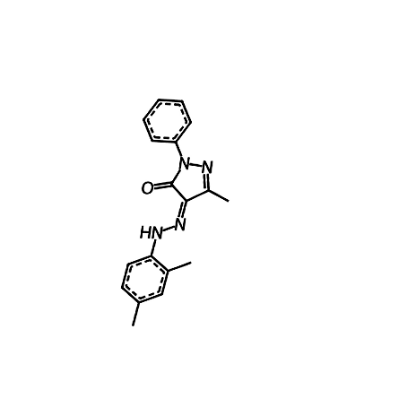 CC1=NN(c2ccccc2)C(=O)/C1=N\Nc1ccc(C)cc1C